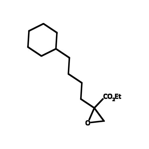 CCOC(=O)C1(CCCCC2CCCCC2)CO1